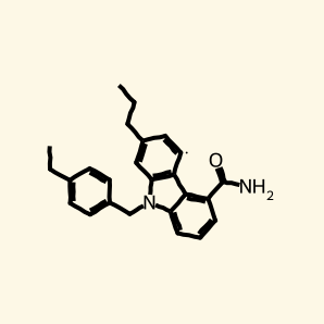 CCCc1c[c]c2c3c(C(N)=O)cccc3n(Cc3ccc(CC)cc3)c2c1